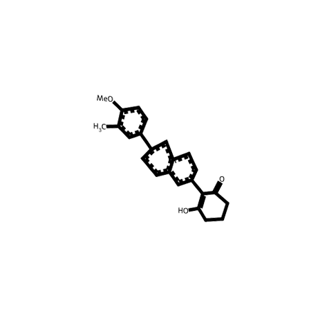 COc1ccc(-c2ccc3cc(C4=C(O)CCCC4=O)ccc3c2)cc1C